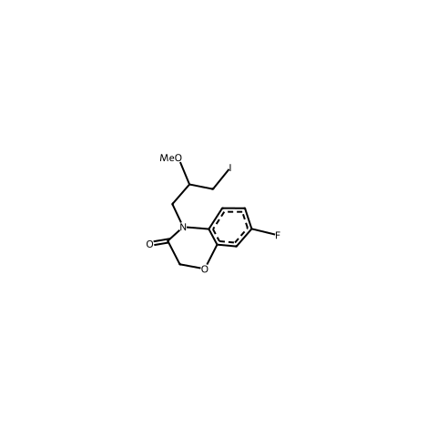 COC(CI)CN1C(=O)COc2cc(F)ccc21